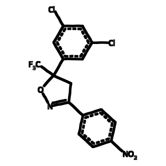 O=[N+]([O-])c1ccc(C2=NOC(c3cc(Cl)cc(Cl)c3)(C(F)(F)F)C2)cc1